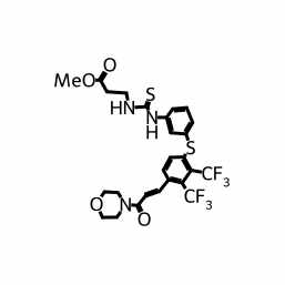 COC(=O)CCNC(=S)Nc1cccc(Sc2ccc(C=CC(=O)N3CCOCC3)c(C(F)(F)F)c2C(F)(F)F)c1